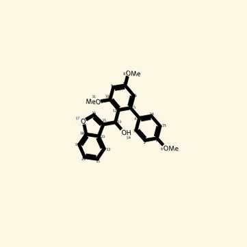 COc1ccc(-c2cc(OC)cc(OC)c2C(O)c2coc3ccccc23)cc1